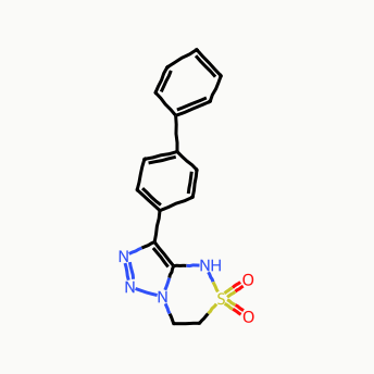 O=S1(=O)CCn2nnc(-c3ccc(-c4ccccc4)cc3)c2N1